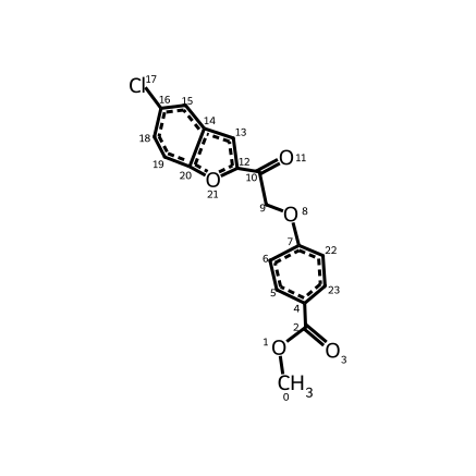 COC(=O)c1ccc(OCC(=O)c2cc3cc(Cl)ccc3o2)cc1